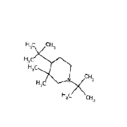 CC(C)(C)C1CCN(C(C)(C)C)CC1(C)C